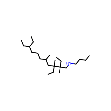 CCCCNC[C@@](C)(CC)C(C)(CC)CC(C)CCCC(CC)CC